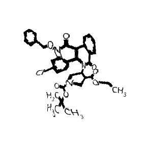 CCOC(=O)C1CN(C(=O)OC(C)(C)C)CC1N1C(=O)c2ccccc2C(C(=O)NOCc2ccccc2)C1c1ccc(Cl)cc1